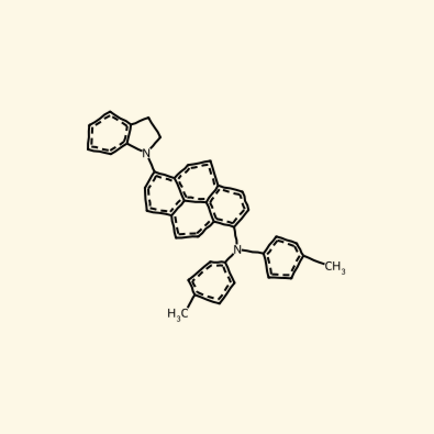 Cc1ccc(N(c2ccc(C)cc2)c2ccc3ccc4c(N5CCc6ccccc65)ccc5ccc2c3c54)cc1